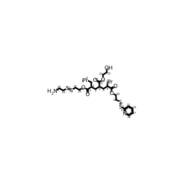 CC(C)CC(CC(CC(C(=O)OCCSSc1ccccn1)C(C)C)C(=O)OCCO)C(=O)OCCSSCCN